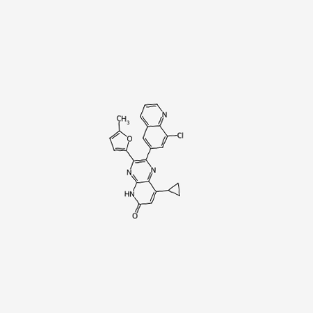 Cc1ccc(-c2nc3[nH]c(=O)cc(C4CC4)c3nc2-c2cc(Cl)c3ncccc3c2)o1